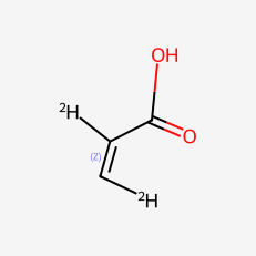 [2H]/C=C(/[2H])C(=O)O